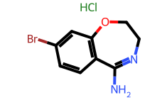 Cl.NC1=NCCOc2cc(Br)ccc21